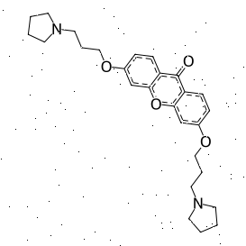 O=c1c2ccc(OCCCN3CCCC3)cc2oc2cc(OCCCN3CCCC3)ccc12